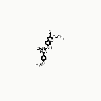 CCOC(=O)C(C#N)=Cc1ccc(Nc2nc(Cl)nc(-c3ccc(OC)cc3)n2)cc1